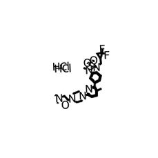 Cc1ccc(N2CCN(C(=O)CN(C)C)CC2)nc1-c1ccc2c(c1)N(C)S(=O)(=O)N2CC1CC1(F)F.Cl.Cl